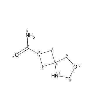 NC(=O)C1CC2(COCN2)C1